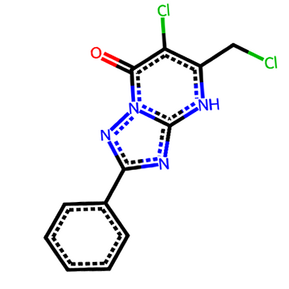 O=c1c(Cl)c(CCl)[nH]c2nc(-c3ccccc3)nn12